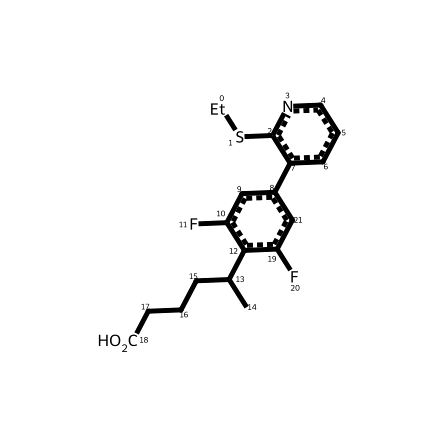 CCSc1ncccc1-c1cc(F)c(C(C)CCCC(=O)O)c(F)c1